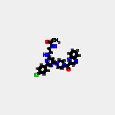 CC(=O)NCCNc1cc(N2CCN(C(=O)c3cnc4ccccc4n3)CC2)nc(-c2ccc(Cl)cc2)n1